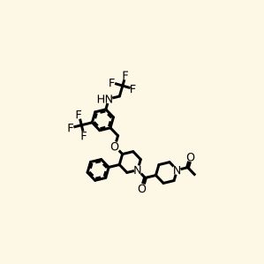 CC(=O)N1CCC(C(=O)N2CCC(OCc3cc(NCC(F)(F)F)cc(C(F)(F)F)c3)C(c3ccccc3)C2)CC1